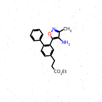 CCOC(=O)CCc1ccc(-c2ccccc2)c(-c2onc(C)c2N)c1